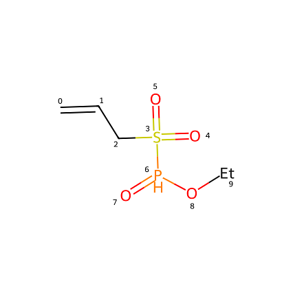 C=CCS(=O)(=O)[PH](=O)OCC